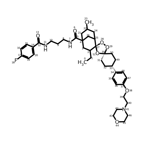 CCC1CC2(C(=O)NCCCNC(=O)c3ccc(F)cc3)CC(C)CC(C2)[C@@]12OO[C@]1(CC[C@@H](c3ccc(OCCN4CCOCC4)cc3)CC1)O2